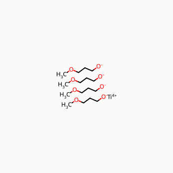 COCCC[O-].COCCC[O-].COCCC[O-].COCCC[O-].[Ti+4]